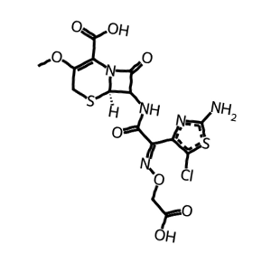 COC1=C(C(=O)O)N2C(=O)C(NC(=O)/C(=N/OCC(=O)O)c3nc(N)sc3Cl)[C@H]2SC1